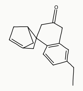 CCc1ccc2c(c1)CC(=O)CC21CC2=CCC1C2